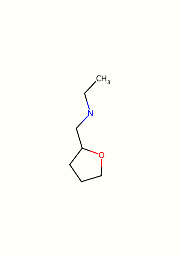 CC[N]CC1CCCO1